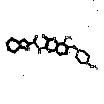 Cc1c(OC2CCN(C)CC2)ccc2cc(NC(=O)c3cc4ccccc4[nH]3)c(=O)oc12